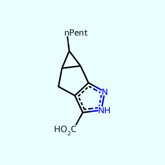 CCCCCC1C2Cc3c(n[nH]c3C(=O)O)C12